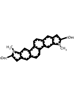 CCCCCCCCCCc1cc2cc3ccc4c5cc6c(cc(CCCCCCCCCC)n6C)cc5ccc4c3cc2n1C